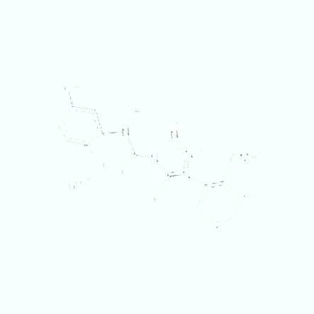 CCCOc1ccc(C)cc1N(CC)C(=O)n1nnn(-c2ccccc2OC)c1=O